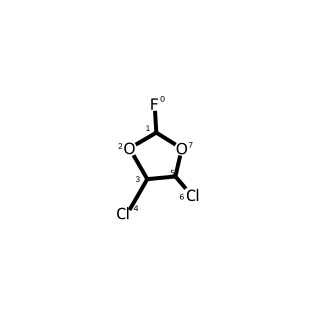 FC1OC(Cl)C(Cl)O1